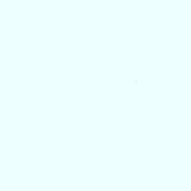 Cc1ccc(-c2ccc(CCC(N)=O)cc2)cc1C.O=C(O)C(O)C(O)C(=O)O